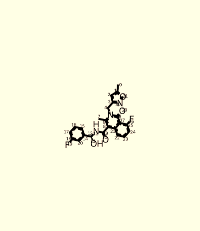 Cc1cc(Cn2c(C)c(C(=O)N[C@@H](O)c3cccc(F)c3)c3cccc(F)c3c2=O)no1